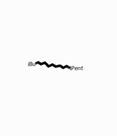 [CH2]CC(C)CCCCCCCCCC(C)CCC